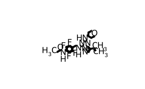 CCC(=O)Nc1c(F)c(F)c(CNc2nc(NC3CCOCC3)nc3c(C(C)C)cnn23)c(F)c1F